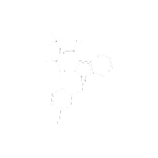 CC(=O)N(C(=O)c1cn(Cc2cccc(Cl)c2)c2ccccc12)C(C)(C)C